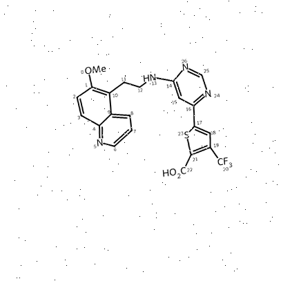 COc1ccc2ncccc2c1CCNc1cc(-c2cc(C(F)(F)F)c(C(=O)O)s2)ncn1